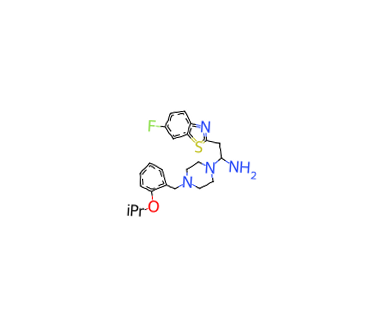 CC(C)Oc1ccccc1CN1CCN(C(N)Cc2nc3ccc(F)cc3s2)CC1